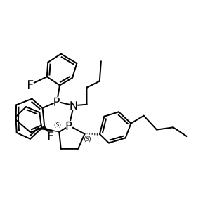 CCCCc1ccc([C@@H]2CC[C@@H](c3ccccc3)P2N(CCCC)P(c2ccccc2F)c2ccccc2F)cc1